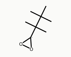 CC(C)(C)C(C)(C)[C]1OO1